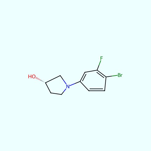 O[C@H]1CCN(c2ccc(Br)c(F)c2)C1